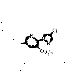 Cc1cnc(-n2cc(Cl)cn2)c(C(=O)O)c1